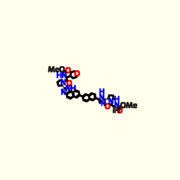 COC(=O)N[C@H](C(=O)N1CCC[C@H]1c1ncc(-c2ccc3cc(-c4ccc5c(ccc6nc([C@@H]7CCCN7C(=O)[C@@H](NC(=O)OC)C7CCOCC7)[nH]c65)c4)ccc3c2)[nH]1)C(C)C